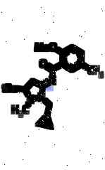 COc1ccc(C(F)(F)F)cc1C(=O)/N=C1\CC(C(C)(C)C)N(C)N1CC1CC1